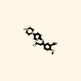 COc1ccc(C(=C/C=O)/N=c2/ccc(N3CCNCC3)cn2C)cc1C#N